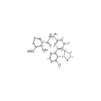 COc1ccnc(C(=O)N[C@@H](C)C(=O)OC(C)[C@H](Oc2cccc(Cl)c2)C2CCCC2)c1OC(C)=O